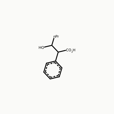 CCCC(O)C(C(=O)O)c1ccccc1